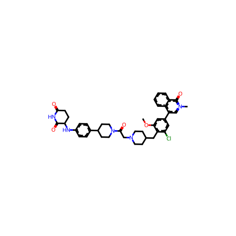 COc1cc(-c2cn(C)c(=O)c3ccccc23)cc(Cl)c1CC1CCN(CC(=O)N2CCC(c3ccc(NC4CCC(=O)NC4=O)cc3)CC2)CC1